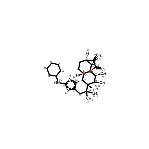 C=C1C(=O)[C@]23[C@H](O)[C@H]1CC[C@H]2[C@@]12CO[C@]3(O)[C@@H](O)[C@@H]1C(C)(C)Cc1sc(NC3CCCCC3)nc12